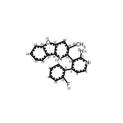 [2H]c1nccc(-c2ccccc2F)c1-c1nc2c(cc1C)oc1ccccc12